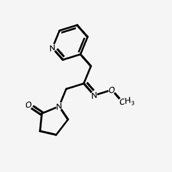 CO/N=C(\Cc1cccnc1)CN1CCCC1=O